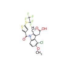 COc1ccc2c(c1Cl)c(CC(=O)O)c(C)n2C(=O)c1csc(SC(F)(F)C(F)(F)F)c1